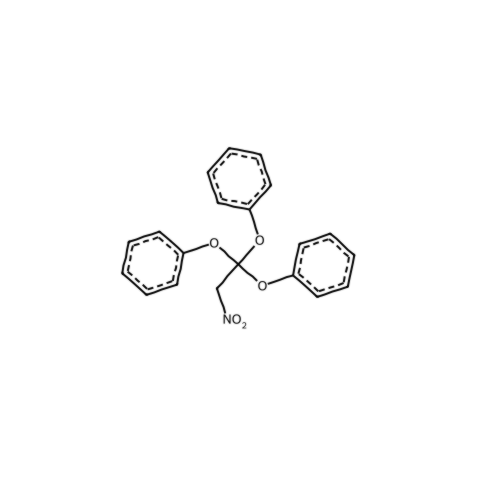 O=[N+]([O-])CC(Oc1ccccc1)(Oc1ccccc1)Oc1ccccc1